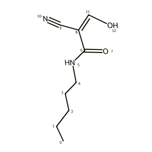 CCCCCNC(=O)/C(C#N)=C\O